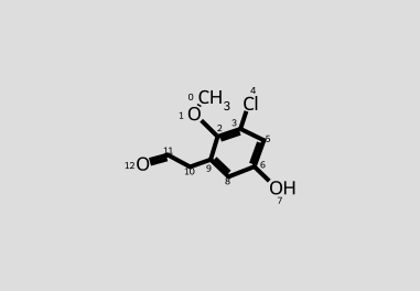 COc1c(Cl)cc(O)cc1CC=O